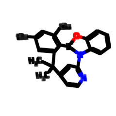 CC(C)(C)c1cc(C(C)(C)C)c2c(c1)C(C)(C)c1ccnc(c1)N1B2Oc2ccccc21